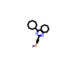 ISC#Cc1nc2c(c(C3CCCCCCC3)n1)CCCCC2